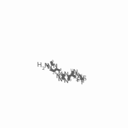 C=C1N=C(Cn2nnc3ncc(-c4cnn(CC(F)(F)F)c4)nc32)C=CN1N